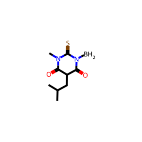 BN1C(=O)C(CC(C)C)C(=O)N(C)C1=S